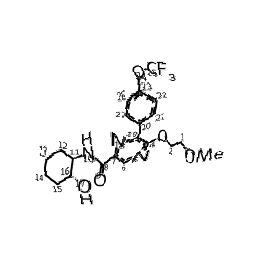 COCCOc1ncc(C(=O)N[C@@H]2CCCC[C@H]2O)nc1-c1ccc(OC(F)(F)F)cc1